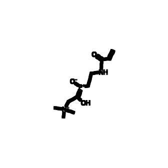 C=CC(=O)NCC/[P+]([O-])=C(\O)C[N+](C)(C)C